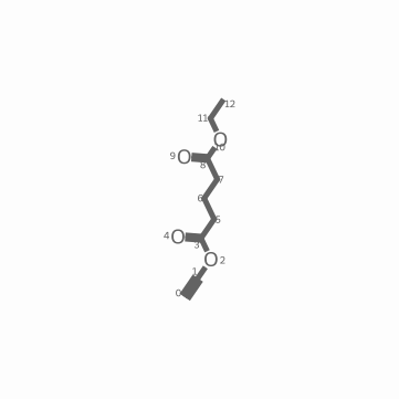 C#COC(=O)CCCC(=O)OCC